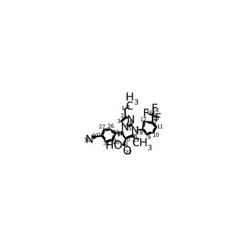 CCc1cn2c(n1)N(c1cccc(C(F)(F)F)c1)C(C)=C(C(=O)O)[C@H]2c1ccc(C#N)cc1